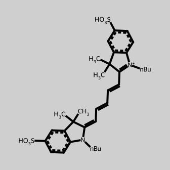 CCCCN1/C(=C/C=C/C=C/C2=[N+](CCCC)c3ccc(S(=O)(=O)O)cc3C2(C)C)C(C)(C)c2cc(S(=O)(=O)O)ccc21